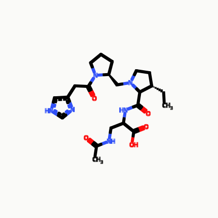 CC[C@H]1CCN(C[C@@H]2CCCN2C(=O)Cc2c[nH]cn2)C1C(=O)NC(CNC(C)=O)C(=O)O